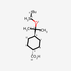 CC(C)(C)[SiH2]OC(C)(C)[C@H]1CC[C@H](C(=O)O)CC1